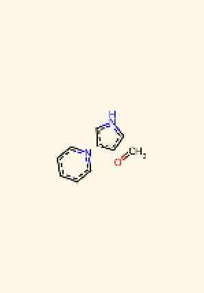 C=O.c1cc[nH]c1.c1ccncc1